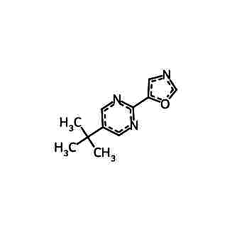 CC(C)(C)c1cnc(-c2cnco2)nc1